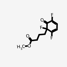 COC(=O)CCCC1(F)C(=O)C(F)=CC=C1F